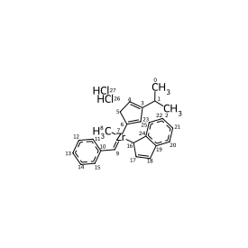 CC(C)C1=CC[C]([Zr]([CH3])(=[CH]c2ccccc2)[CH]2C=Cc3ccccc32)=C1.Cl.Cl